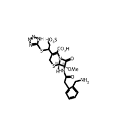 CO[C@@]1(NC(=O)Cc2ccccc2CN)C(=O)N2C(C(=O)O)=C(C(CS(=O)(=O)O)Sc3nnn[nH]3)CS[C@H]21